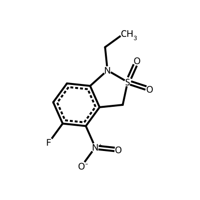 CCN1c2ccc(F)c([N+](=O)[O-])c2CS1(=O)=O